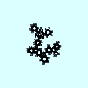 CN1C(c2ccccc2)=NC(c2ccc(-n3c4ccccc4c4cc5c6ccccc6n(-c6ccc7c(c6)C(C)(C)c6ccccc6-7)c5cc43)cc2)=NC1c1ccccc1